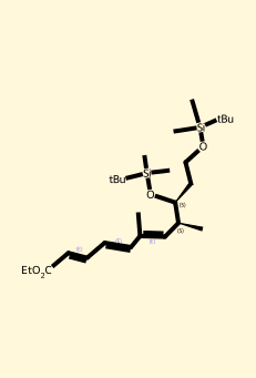 CCOC(=O)/C=C/C=C/C(C)=C/[C@H](C)[C@H](CCO[Si](C)(C)C(C)(C)C)O[Si](C)(C)C(C)(C)C